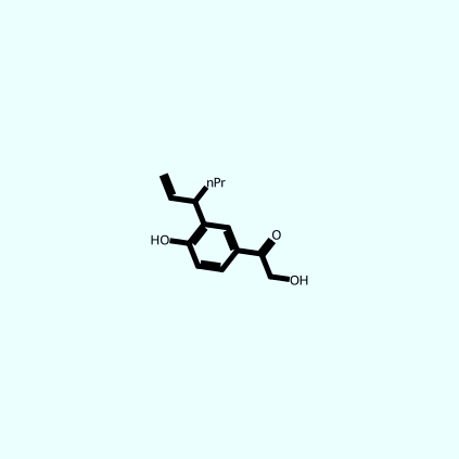 C=CC(CCC)c1cc(C(=O)CO)ccc1O